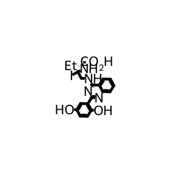 CC[C@@](I)(CNc1nc(-c2cc(O)ccc2O)nc2ccccc12)NC(=O)O